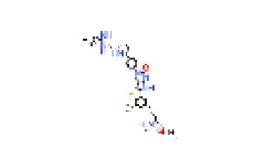 COC[C@H](N)CCCc1cc(Cl)c(F)c(-c2cc3cn(-c4ccc([C@@H]5CCC[C@@H](CCNC(C)=N)N5)cc4)c(=O)nc3[nH]2)c1